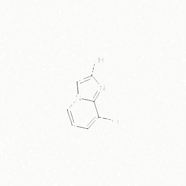 Cc1cn2cccc(Cl)c2n1